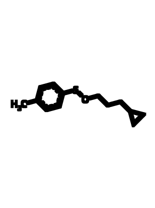 Cc1ccc(SOCCCC2CC2)cc1